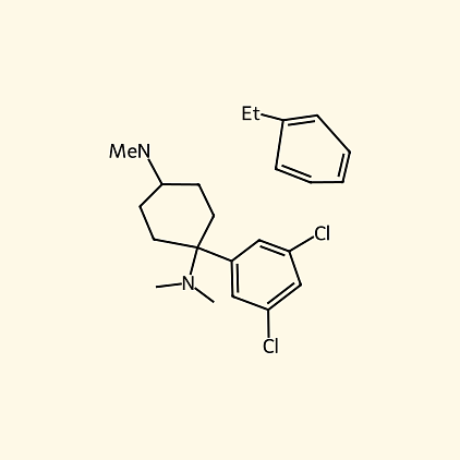 CCc1ccccc1.CNC1CCC(c2cc(Cl)cc(Cl)c2)(N(C)C)CC1